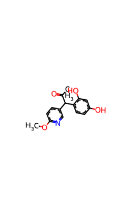 COc1ccc(C(C(C)=O)c2ccc(O)cc2O)cn1